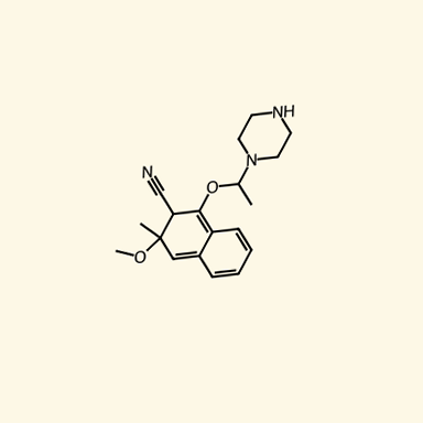 COC1(C)C=c2ccccc2=C(OC(C)N2CCNCC2)C1C#N